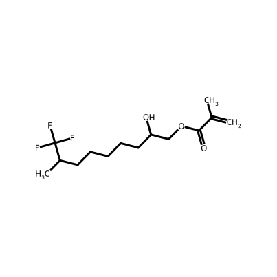 C=C(C)C(=O)OCC(O)CCCCCC(C)C(F)(F)F